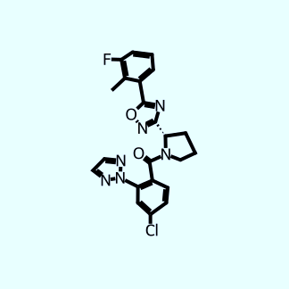 Cc1c(F)cccc1-c1nc([C@@H]2CCCN2C(=O)c2ccc(Cl)cc2-n2nccn2)no1